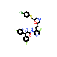 N[C@@H](C(=O)Nc1cncc(F)c1CC[C@@H]1CNC[C@@H](CSc2ccc(Cl)cc2)O1)C(c1ccc(F)cc1)c1ccc(F)cc1